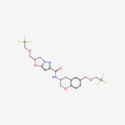 O=C(NC1COc2ccc(COCC(F)(F)F)cc2C1)c1cc2n(n1)CC(COCC(F)(F)F)O2